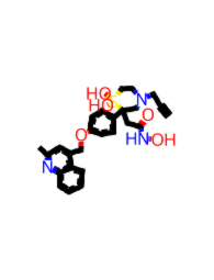 C#CCN1CCS(O)(O)C(CC(=O)NO)(c2ccc(OCc3cc(C)nc4ccccc34)cc2)C1